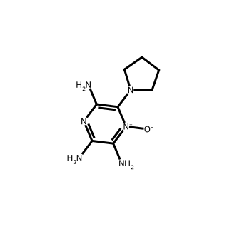 Nc1nc(N)c(N2CCCC2)[n+]([O-])c1N